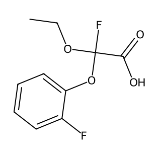 CCOC(F)(Oc1ccccc1F)C(=O)O